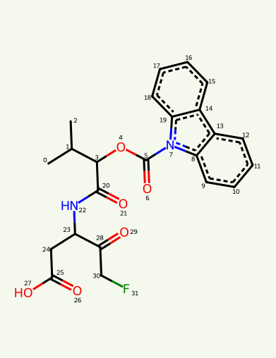 CC(C)C(OC(=O)n1c2ccccc2c2ccccc21)C(=O)NC(CC(=O)O)C(=O)CF